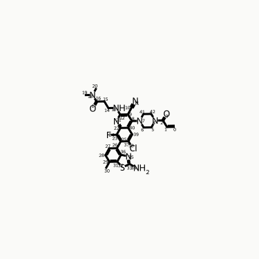 C=CC(=O)N1CCN(c2c(C#N)c(NCCC(=O)N(C)C)nc3c(F)c(-c4ccc(C)c5sc(N)nc45)c(Cl)cc23)CC1